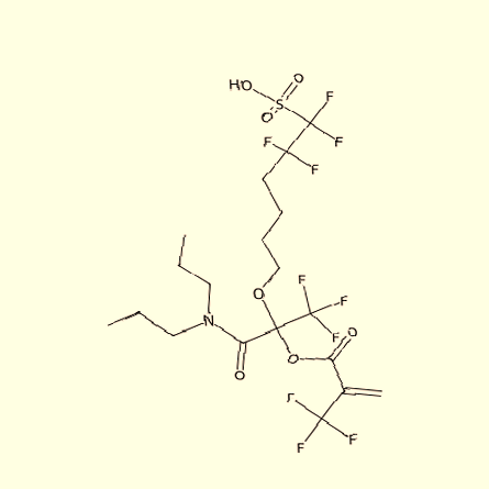 C=C(C(=O)OC(OCCCCC(F)(F)C(F)(F)S(=O)(=O)O)(C(=O)N(CCC)CCC)C(F)(F)F)C(F)(F)F